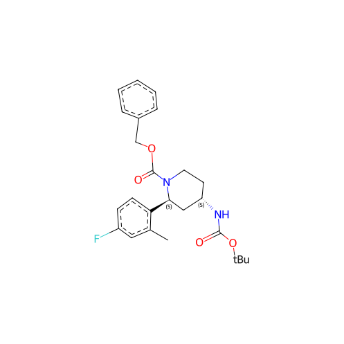 Cc1cc(F)ccc1[C@@H]1C[C@@H](NC(=O)OC(C)(C)C)CCN1C(=O)OCc1ccccc1